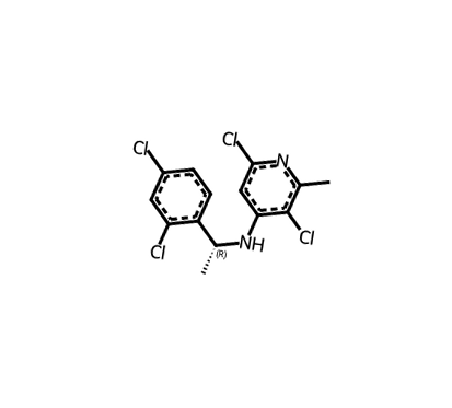 Cc1nc(Cl)cc(N[C@H](C)c2ccc(Cl)cc2Cl)c1Cl